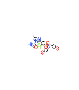 COc1ccc(CN(Cc2ccc(OC)cc2)S(=O)(=O)c2ccc(-c3nc4cc(C)ccn4c3C[C@H]3CNCCO3)c(C(F)(F)F)c2)cc1